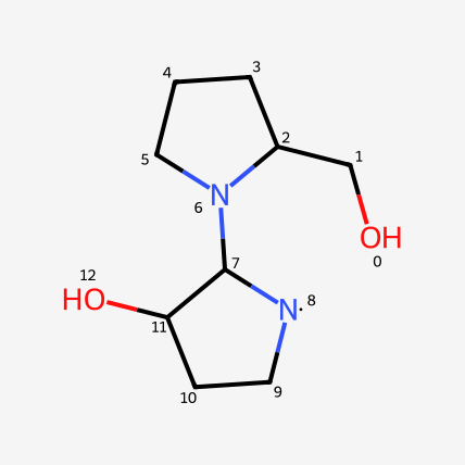 OCC1CCCN1C1[N]CCC1O